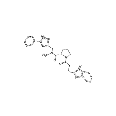 CN(Cc1cc(-c2ccccc2)[nH]n1)C(=O)[C@@H]1CCCN1C(=O)CCc1nc2ccccc2[nH]1